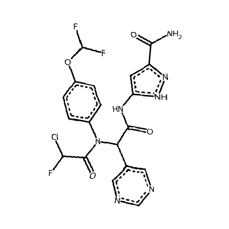 NC(=O)c1cc(NC(=O)C(c2cncnc2)N(C(=O)C(F)Cl)c2ccc(OC(F)F)cc2)[nH]n1